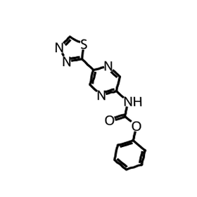 O=C(Nc1cnc(-c2nncs2)cn1)Oc1ccccc1